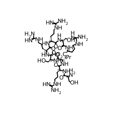 CC(C)[C@H](NC(=O)[C@H](CCCNC(=N)N)NC(=O)[C@@H](N)CO)C(=O)N[C@@H](CO)C(=O)N[C@@H](CCCNC(=N)N)C(=O)N[C@@H](CCCNC(=N)N)C(=O)N[C@@H](CO)C(=O)N[C@@H](CCCNC(=N)N)C(=O)O